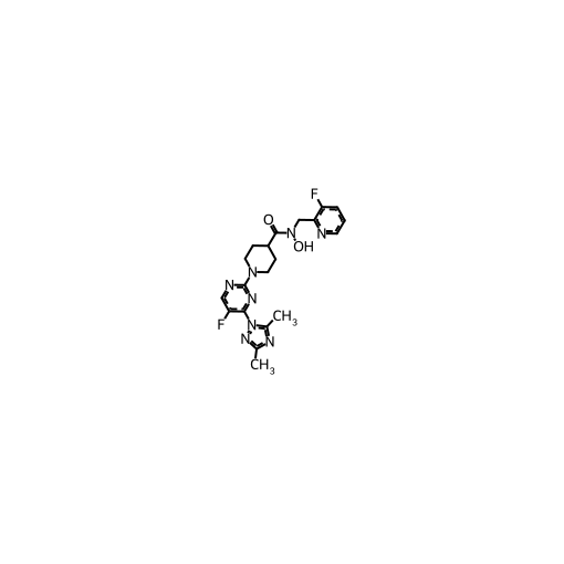 Cc1nc(C)n(-c2nc(N3CCC(C(=O)N(O)Cc4ncccc4F)CC3)ncc2F)n1